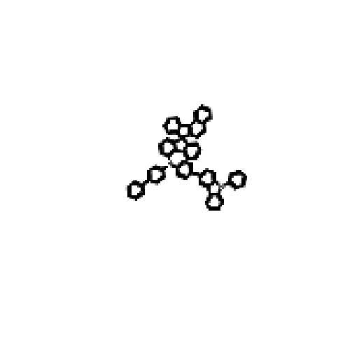 c1ccc(-c2ccc(N(c3ccc(-c4ccc5c(c4)c4ccccc4n5-c4ccccc4)cc3)c3cccc4c3-c3ccccc3C43c4ccccc4-c4c3ccc3ccccc43)cc2)cc1